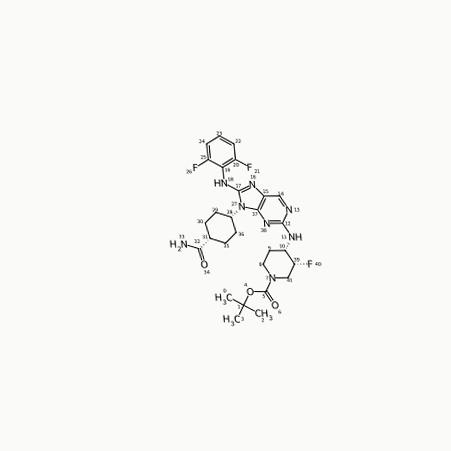 CC(C)(C)OC(=O)N1CC[C@H](Nc2ncc3nc(Nc4c(F)cccc4F)n([C@H]4CC[C@@H](C(N)=O)CC4)c3n2)[C@H](F)C1